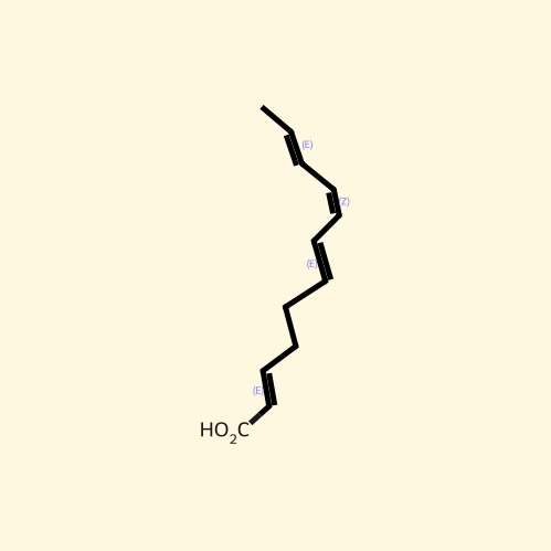 C/C=C/C=C\C=C\CC/C=C/C(=O)O